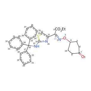 CCOC(=O)/C(=N\OC1CCC(=O)CC1)c1csc(NC(c2ccccc2)(c2ccccc2)c2ccccc2)n1